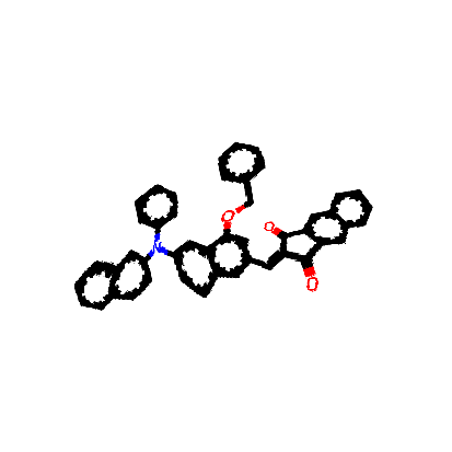 O=C1C(=Cc2cc(OCc3ccccc3)c3cc(N(c4ccccc4)c4ccc5ccccc5c4)ccc3c2)C(=O)c2cc3ccccc3cc21